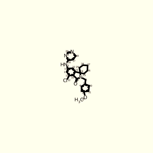 COc1ccc(CN2C(=O)c3c(Cl)cc(Nc4ccncn4)cc3C23CCCCC3)cc1